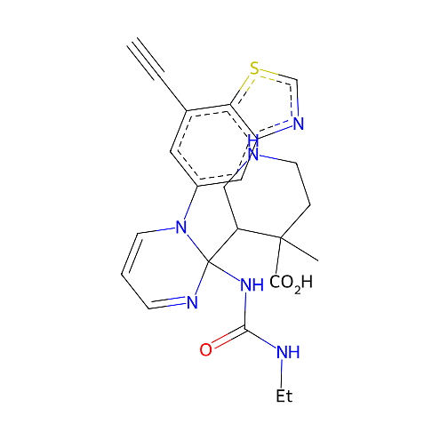 C#Cc1cc(N2C=CC=NC2(NC(=O)NCC)C2CNCCC2(C)C(=O)O)cc2ncsc12